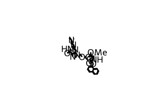 COC(=O)[C@H](C)NP(=O)(OCCOCn1cnc2c(=O)[nH]c(/N=C/N(C)C)nc21)Oc1cccc2ccccc12